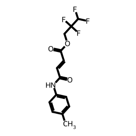 Cc1ccc(NC(=O)C=CC(=O)OCC(F)(F)C(F)F)cc1